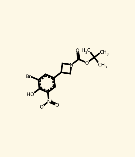 CC(C)(C)OC(=O)N1CC(c2cc(Br)c(O)c([N+](=O)[O-])c2)C1